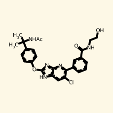 CC(=O)NC(C)(C)c1ccc(Oc2nc3nc(-c4cccc(C(=O)NCCO)c4)c(Cl)cc3[nH]2)cc1